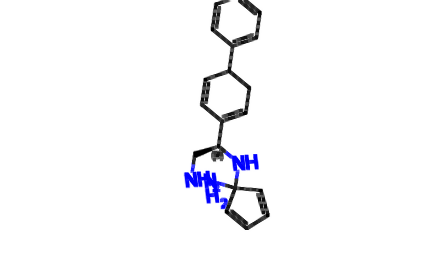 NC[C@H](NC1(N)C=CC=C1)C1=CCC(c2ccccc2)C=C1